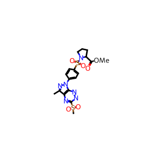 COC(=O)C1CCCN1S(=O)(=O)c1ccc(-n2nc(C)c3nc(S(C)(=O)=O)nnc32)cc1